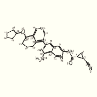 N#C[C@@H]1C[C@H]1C(=O)Nc1cc2cc(-c3cncc4c3CCCC4OC3CCCC3)nc(N)c2cn1